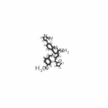 COc1ccc(Cn2c(CC3CCCO3)cc3c(N)nc4cc(-c5ccn[nH]5)ccc4c32)cc1